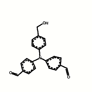 O=Cc1ccc(N(c2ccc(C=O)cc2)c2ccc(CO)cc2)cc1